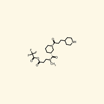 CN(CCC(=O)OC(=O)C(F)(F)F)C(=O)[C@@H]1CCCN(C(=O)CCC2CCNCC2)C1